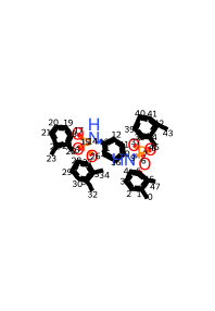 Cc1cccc(OP(=O)(Nc2ccc(NP(=O)(Oc3cccc(C)c3C)Oc3cccc(C)c3C)cc2)Oc2cccc(C)c2C)c1C